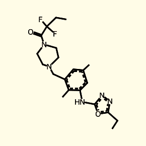 CCc1nnc(Nc2cc(C)cc(CN3CCN(C(=O)C(F)(F)CC)CC3)c2C)o1